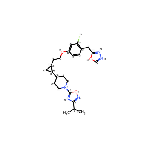 CC(C)c1noc(N2CCC([C@H]3C[C@H]3CCOc3ccc(Cc4nnco4)c(F)c3)CC2)n1